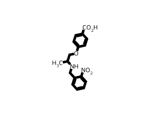 CC(COc1ccc(C(=O)O)cc1)NCc1ccccc1[N+](=O)[O-]